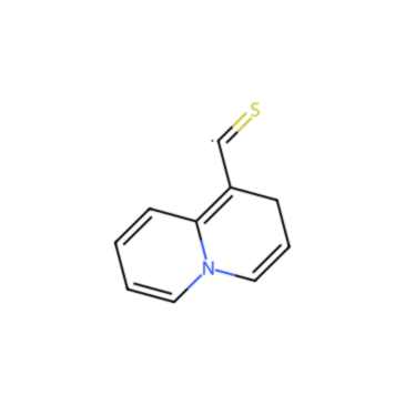 S=[C]C1=C2C=CC=CN2C=CC1